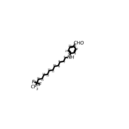 O=Cc1ccc(NCCCCCCCCCCCC(F)(F)C(F)(F)F)cc1